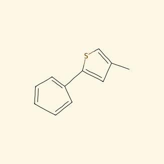 Cc1csc(-c2ccccc2)c1